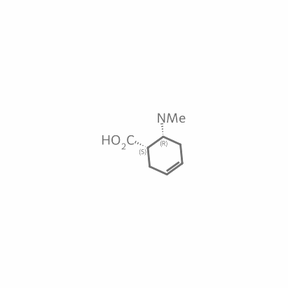 CN[C@@H]1CC=CC[C@@H]1C(=O)O